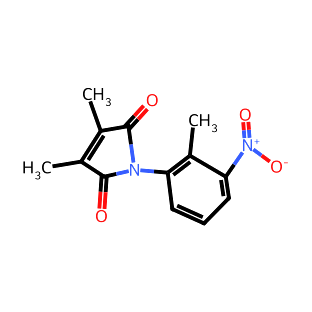 CC1=C(C)C(=O)N(c2cccc([N+](=O)[O-])c2C)C1=O